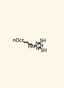 CCCCCCCCCCCCNc1nc(S)nc(S)n1